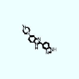 CN1CCN(c2ccc3[nH]c(-c4ccc5[nH]cnc5c4)nc3c2)CC1